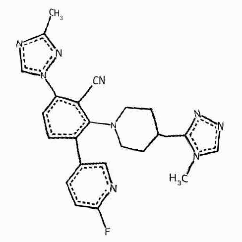 Cc1ncn(-c2ccc(-c3ccc(F)nc3)c(N3CCC(c4nncn4C)CC3)c2C#N)n1